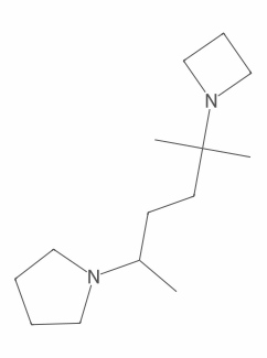 CC(CCC(C)(C)N1CCC1)N1CCCC1